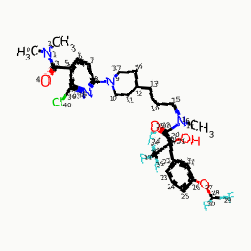 CN(C)C(=O)c1ccc(N2CCC(CCCN(C)C(=O)[C@](O)(c3cccc(OC(F)F)c3)C(F)(F)F)CC2)nc1Cl